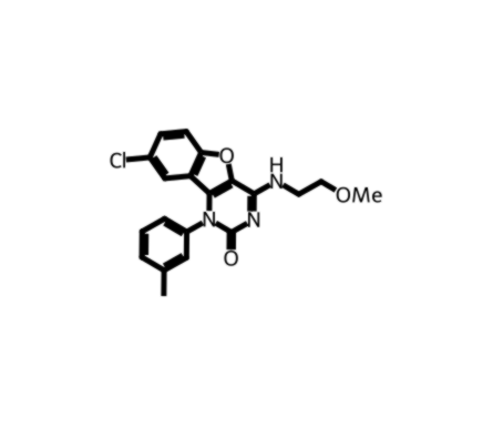 COCCNc1nc(=O)n(-c2cccc(C)c2)c2c1oc1ccc(Cl)cc12